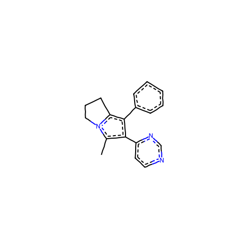 Cc1c(-c2ccncn2)c(-c2ccccc2)c2n1CCC2